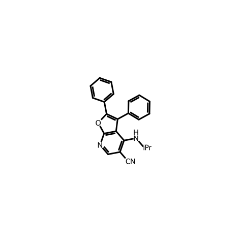 CC(C)Nc1c(C#N)cnc2oc(-c3ccccc3)c(-c3ccccc3)c12